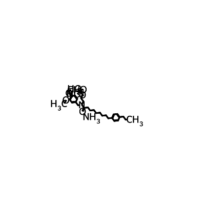 CCCc1ccc(CCCCCCCCC(=O)N(CCOP(=O)(O)O)Cc2ccc(OC)c(OC)c2)cc1.N